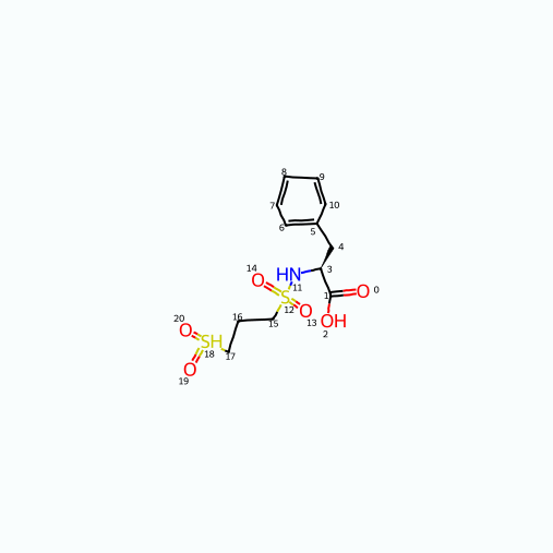 O=C(O)[C@H](Cc1ccccc1)NS(=O)(=O)CCC[SH](=O)=O